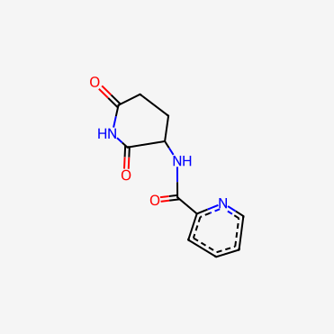 O=C1CCC(NC(=O)c2ccccn2)C(=O)N1